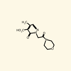 Cc1cnn(CC(=O)N2CCOCC2)c(=O)c1C(=O)O